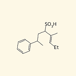 CCC=C(C)C(CC(C)c1ccccc1)S(=O)(=O)O